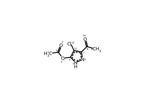 CC(=O)Oc1[nH]nc(C(C)=O)c1Cl